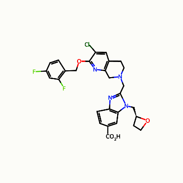 O=C(O)c1ccc2nc(CN3CCc4cc(Cl)c(OCc5ccc(F)cc5F)nc4C3)n(C[C@@H]3CCO3)c2c1